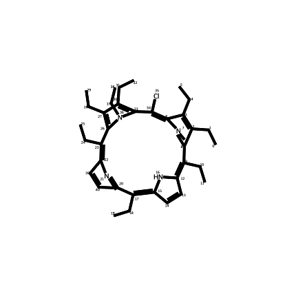 CCC1=C(CC)c2nc1c(CC)c1ccc([nH]1)c(CC)c1nc(c(CC)c3c(CC)c(CC)c(c2Cl)n3CC)C=C1